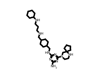 Nc1nc(NCC2CCC(CNCCCNC3CCCCC3)CC2)nc(N2CCNC3(CCCC3)C2)n1